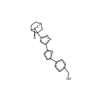 OCc1ccc(-c2ccc(-c3cn([C@H]4CN5CCC4CC5)nn3)s2)cc1